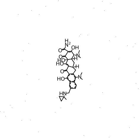 CN(C)c1c2c(c(O)c3cc(CNC4(C)CC4)ccc13)C(=O)C1=C(O)[C@]3(O)C(=O)C(C(N)=O)=C(O)[C@@H](N(C)C)[C@@H]3C[C@@H]1C2